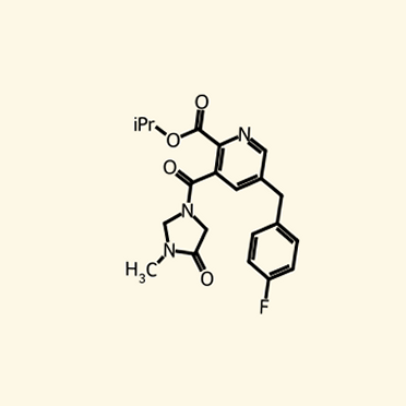 CC(C)OC(=O)c1ncc(Cc2ccc(F)cc2)cc1C(=O)N1CC(=O)N(C)C1